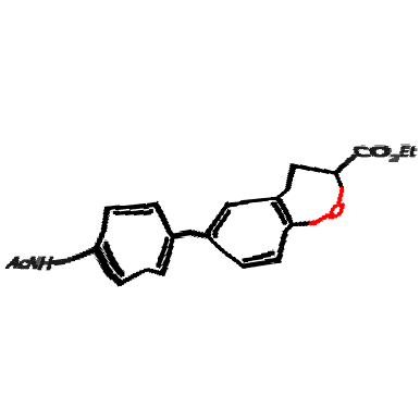 CCOC(=O)C1Cc2cc(-c3ccc(NC(C)=O)cc3)ccc2O1